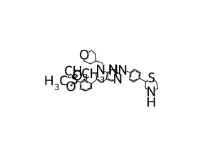 Cc1c(C2=Cc3cnc(Nc4ccc(C5CNCCS5)cc4)nc3N(CC3CCOCC3)C2)cccc1S(=O)(=O)C(C)C